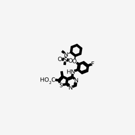 Cc1c(C(=O)O)sc2ncnc(Nc3ccc(F)cc3O[C@@H]3CCCC[C@H]3N(C)S(C)(=O)=O)c12